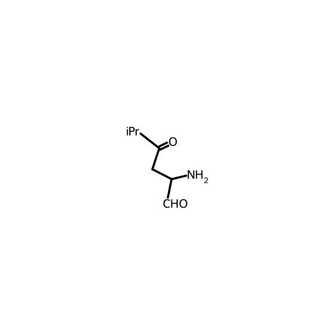 CC(C)C(=O)CC(N)C=O